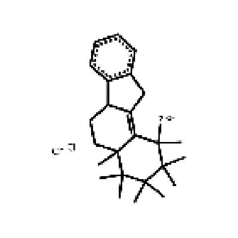 C[C]1([Zr+2])C2=C3Cc4ccccc4C3CCC2(C)C(C)(C)C(C)(C)C1(C)C.[Cl-].[Cl-]